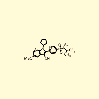 COc1cnc2c(c1)c(C#N)c(-c1ccc(S(=O)(=O)N(C(C)=O)[C@@H](C)C(F)(F)F)cn1)n2C1CCCC1